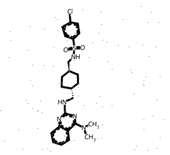 CN(C)c1nc(NC[C@H]2CC[C@H](CNS(=O)(=O)c3ccc(Cl)cc3)CC2)nc2ccccc12